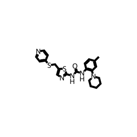 Cc1ccc(NC(=O)Nc2ncc(CSc3ccncc3)s2)c(N2CCCCC2)c1